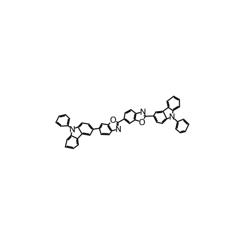 c1ccc(-n2c3ccccc3c3cc(-c4ccc5nc(-c6ccc7nc(-c8ccc9c(c8)c8ccccc8n9-c8ccccc8)oc7c6)oc5c4)ccc32)cc1